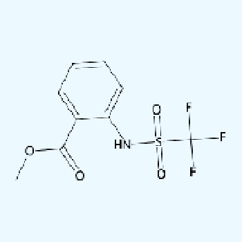 COC(=O)c1ccccc1NS(=O)(=O)C(F)(F)F